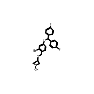 N#CN1CC(OCc2ccc(OC(c3ccc(F)cc3)c3ccc(F)cc3)cc2Br)C1